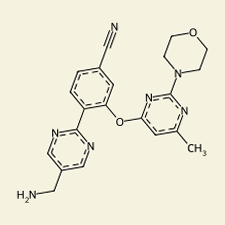 Cc1cc(Oc2cc(C#N)ccc2-c2ncc(CN)cn2)nc(N2CCOCC2)n1